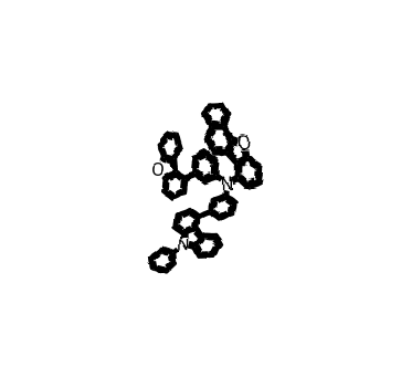 c1ccc(-n2c3ccccc3c3c(-c4cccc(N(c5cccc(-c6cccc7oc8ccccc8c67)c5)c5cccc6oc7c8ccccc8ccc7c56)c4)cccc32)cc1